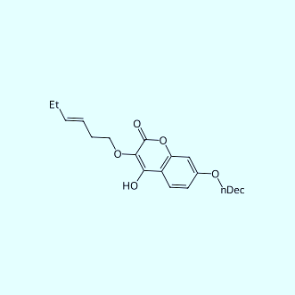 CCC=CCCOc1c(O)c2ccc(OCCCCCCCCCC)cc2oc1=O